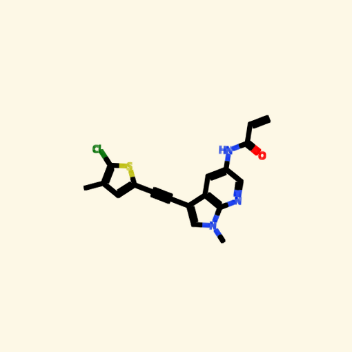 C=CC(=O)Nc1cnc2c(c1)c(C#Cc1cc(C)c(Cl)s1)cn2C